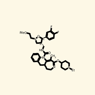 CCN1CCC(OC2=NCCC(Cc3ccccc3)C(NC(=O)NC[C@@H]3CN(CCOC)O[C@H]3c3ccc(F)c(F)c3)=C2C)CC1